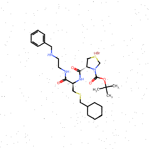 Br.CC(C)(C)OC(=O)N1CSC[C@H]1C(=O)N[C@@H](CSCC1CCCCC1)C(=O)NCCNCc1ccccc1